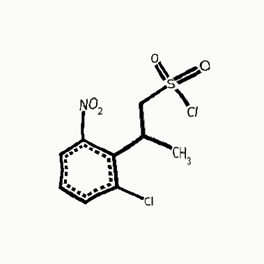 CC(CS(=O)(=O)Cl)c1c(Cl)cccc1[N+](=O)[O-]